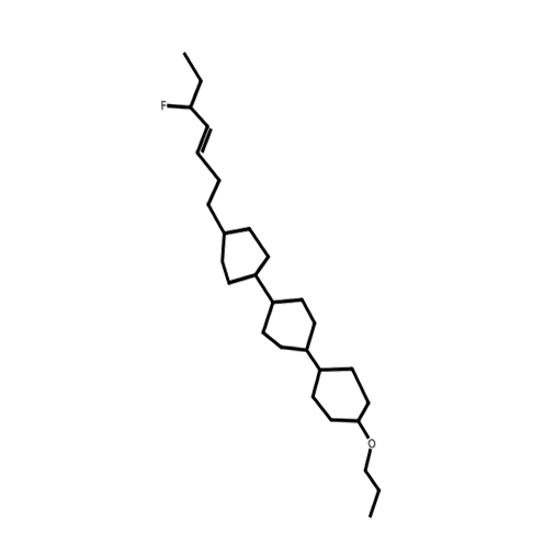 CCCOC1CCC(C2CCC(C3CCC(CC/C=C/C(F)CC)CC3)CC2)CC1